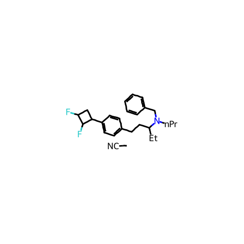 CC#N.CCCN(Cc1ccccc1)C(CC)CCc1ccc(C2CC(F)C2F)cc1